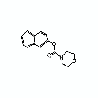 O=C(Oc1ccc2ccccc2c1)N1CCOCC1